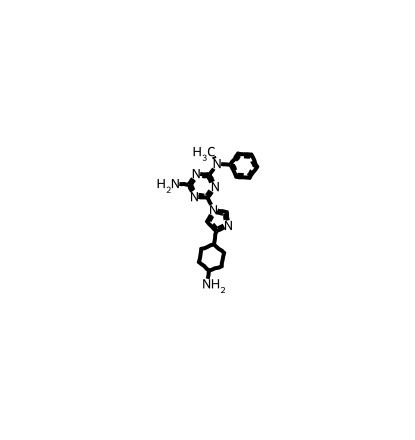 CN(c1ccccc1)c1nc(N)nc(-n2cnc(C3CCC(N)CC3)c2)n1